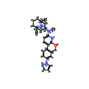 CCN(c1ccc2c(n1)OCc1cc(-n3cccn3)ccc1-2)[C@@H]1C[C@H]2CCC[C@@H](C1)N2